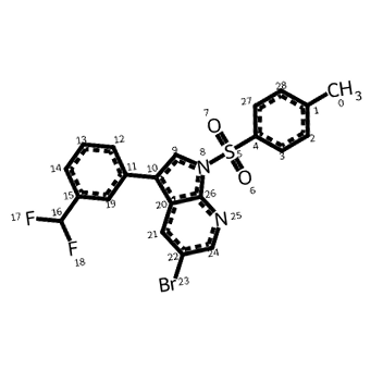 Cc1ccc(S(=O)(=O)n2cc(-c3cccc(C(F)F)c3)c3cc(Br)cnc32)cc1